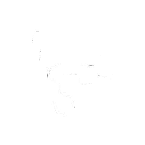 OCCCn1cc(-c2ccccc2)c(-c2ccc(O)c(O)c2)c1